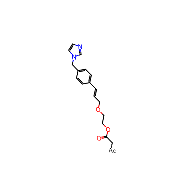 CC(=O)CC(=O)OCCOCC=Cc1ccc(Cn2ccnc2)cc1